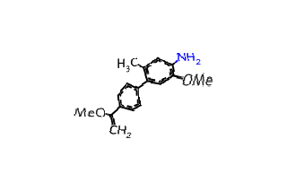 C=C(OC)c1ccc(-c2cc(OC)c(N)cc2C)cc1